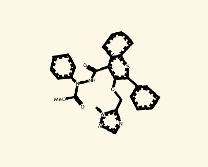 COC(=O)N(NC(=O)c1c(OCc2ncnn2C)c(-c2ccccc2)nc2ccccc12)c1ccccc1